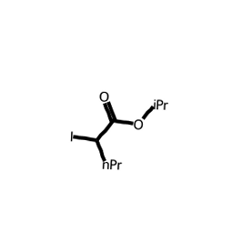 CCCC(I)C(=O)OC(C)C